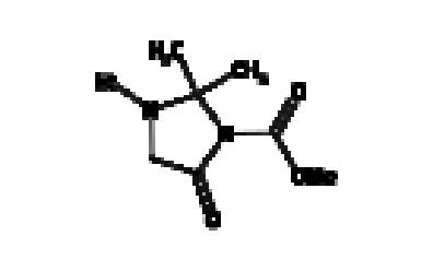 CCN1CC(=O)N(C(=O)OC)C1(C)C